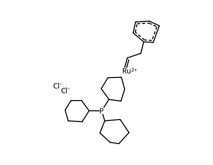 C1CCC(P(C2CCCCC2)C2CCCCC2)CC1.[Cl-].[Cl-].[Ru+2]=[CH]Cc1ccccc1